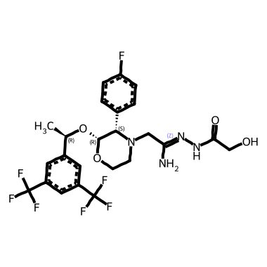 C[C@@H](O[C@H]1OCCN(C/C(N)=N/NC(=O)CO)[C@H]1c1ccc(F)cc1)c1cc(C(F)(F)F)cc(C(F)(F)F)c1